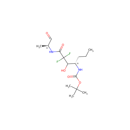 CCC[C@H](NC(=O)OC(C)(C)C)C(O)C(F)(F)C(=O)N[C@@H](C)C=O